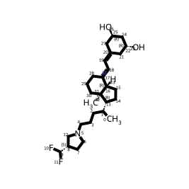 CC(CCCN1CC[C@H](C(F)F)C1)[C@H]1CC[C@H]2/C(=C/C=C3C[C@@H](O)C[C@H](O)C3)CCC[C@]12C